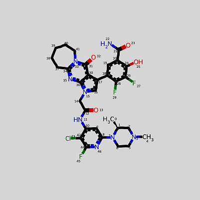 C[C@H]1CN(C)CCN1c1cc(NC(=O)Cn2cc(-c3cc(C(N)=O)c(O)c(F)c3F)c3c(=O)n4c(nc32)CCCCC4)c(Cl)c(F)n1